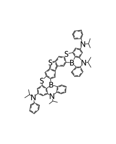 CC(C)N(c1ccccc1)c1cc2c3c(c1)N(C(C)C)c1ccccc1B3c1cc3c(cc1S2)sc1cc2c(cc13)B1c3ccccc3N(C(C)C)c3cc(N(c4ccccc4)C(C)C)cc(c31)S2